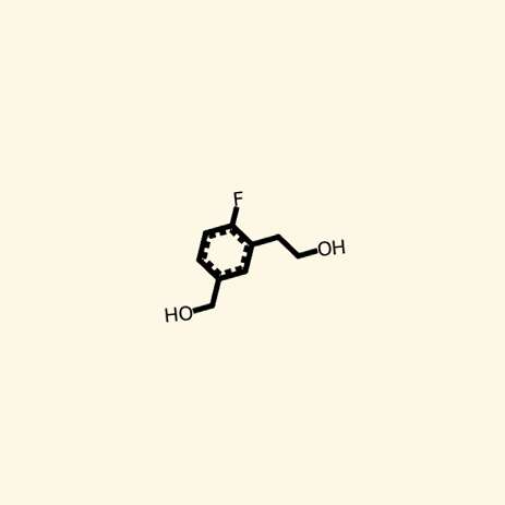 OCCc1cc(CO)ccc1F